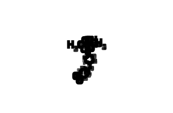 CC1(C)OB(C2=CC=C(CN3CCS(=O)(=O)CC3)CC2)OC1(C)C